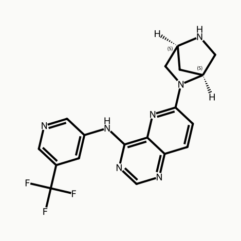 FC(F)(F)c1cncc(Nc2ncnc3ccc(N4C[C@@H]5C[C@H]4CN5)nc23)c1